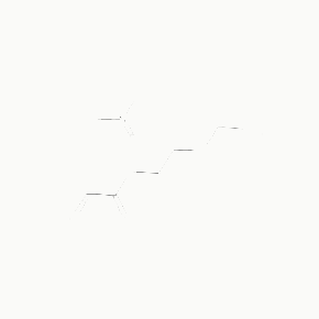 C=CC(=O)OCCOCC.O=[N+]([O-])O